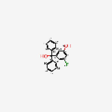 Oc1cc(F)cc(C(O)(c2ccccc2)c2ccccc2)c1